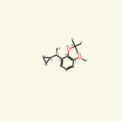 COc1cccc([C@H](C)C2CC2)c1OC(C)(C)C